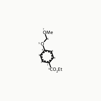 CCOC(=O)c1ccc(OCOC)cc1